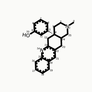 CN1CC[C@]2(c3cccc(O)c3)Cc3nc4ccccc4cc3CC2C1